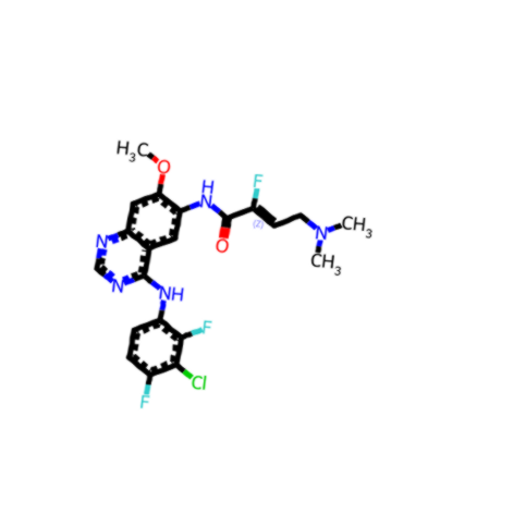 COc1cc2ncnc(Nc3ccc(F)c(Cl)c3F)c2cc1NC(=O)/C(F)=C/CN(C)C